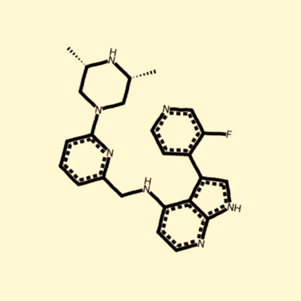 C[C@@H]1CN(c2cccc(CNc3ccnc4[nH]cc(-c5ccncc5F)c34)n2)C[C@H](C)N1